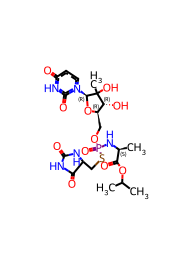 CC(C)OC(=O)[C@H](C)NP(=O)(OC[C@H]1O[C@@H](n2ccc(=O)[nH]c2=O)C(C)(O)[C@@H]1O)SCC1NC(=O)NC1=O